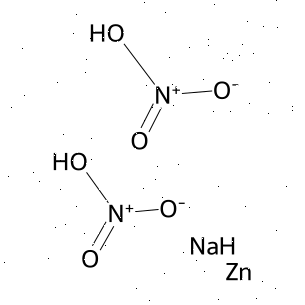 O=[N+]([O-])O.O=[N+]([O-])O.[NaH].[Zn]